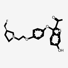 CC(=O)c1sc2cc(O)ccc2c1Oc1ccc(OCCN2CC[C@@H](CF)C2)cc1